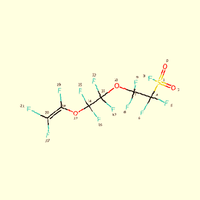 O=S(=O)(F)C(F)(F)C(F)(F)OC(F)(F)C(F)(F)OC(F)=C(F)F